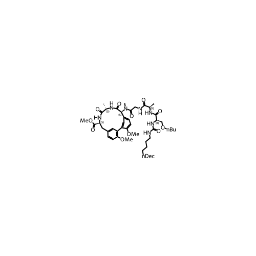 CCCCCCCCCCCCCCNC(=O)N[C@H](COCCCC)C(=O)N[C@H](C)C(=O)NCC(=O)N(C)[C@@H]1C(=O)N[C@@H](C)C(=O)N[C@H](C(=O)OC)Cc2ccc(OC)c(c2)-c2cc1ccc2OC